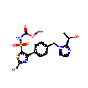 CCCCOC(=O)NS(=O)(=O)c1sc(CCC)nc1-c1ccc(Cn2ccnc2C(C)O)cc1